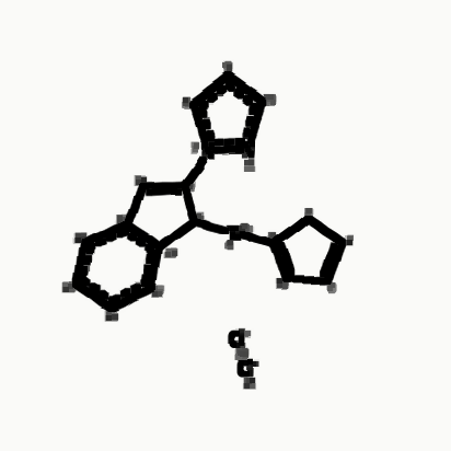 C1=CC[C]([Ti+2][CH]2C(n3cccn3)=Cc3ccccc32)=C1.[Cl-].[Cl-]